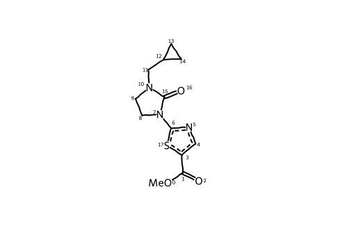 COC(=O)c1cnc(N2CCN(CC3CC3)C2=O)s1